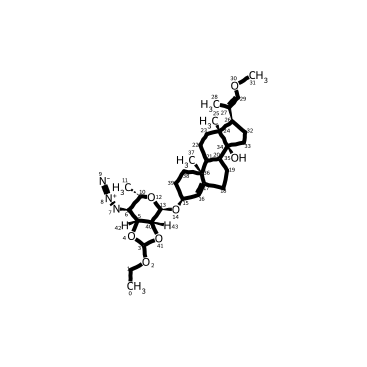 CCOC1O[C@@H]2[C@@H](N=[N+]=[N-])[C@H](C)O[C@@H](O[C@@H]3C=C4CCC5C(CC[C@]6(C)[C@@H](/C(C)=C/OC)CC[C@]56O)[C@@]4(C)CC3)[C@@H]2O1